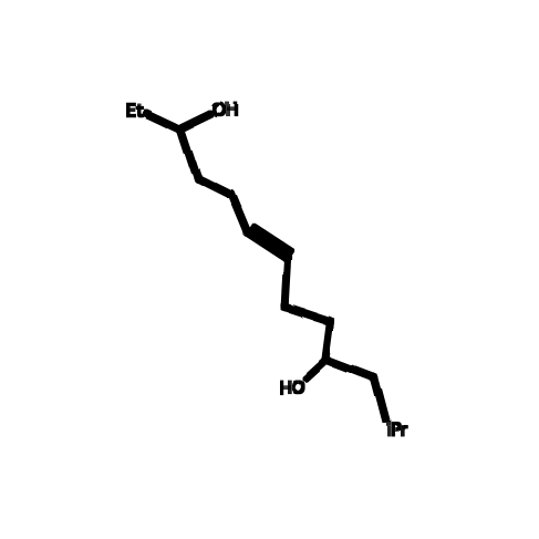 CCC(O)CCC=CCCC(O)CC(C)C